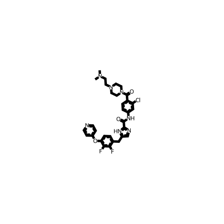 CN(C)CCN1CCN(C(=O)c2ccc(NC(=O)c3ncc(Cc4ccc(Oc5ccncc5)c(F)c4F)[nH]3)cc2Cl)CC1